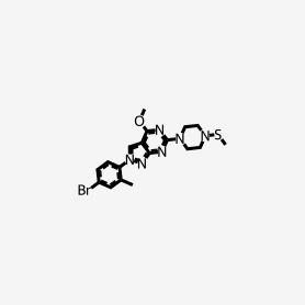 COc1nc(N2CCN(SC)CC2)nc2nn(-c3ccc(Br)cc3C)cc12